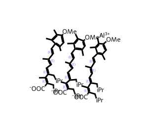 COc1cc(C)c(/C=C/C(C)=C/C=C(CC(C)C)/C(C)=C(\CC(C)C)C(=O)[O-])c(C)c1C.COc1cc(C)c(/C=C/C(C)=C/C=C(CC(C)C)/C(C)=C(\CC(C)C)C(=O)[O-])c(C)c1C.COc1cc(C)c(/C=C/C(C)=C/C=C(CC(C)C)/C(C)=C(\CC(C)C)C(=O)[O-])c(C)c1C.[Al+3]